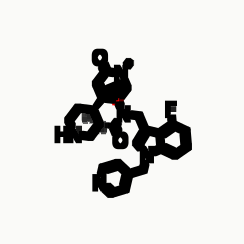 Cn1ccc([C@@H]2CCNC[C@H]2C(=O)N(Cc2cn(Cc3ccncc3)c3cccc(F)c23)C2CC2)cc1=O